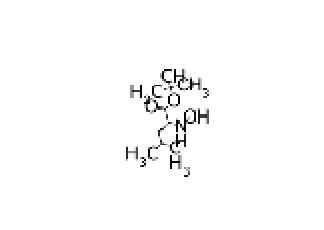 CC(C)C[C@H](NO)C(=O)OC(C)(C)C